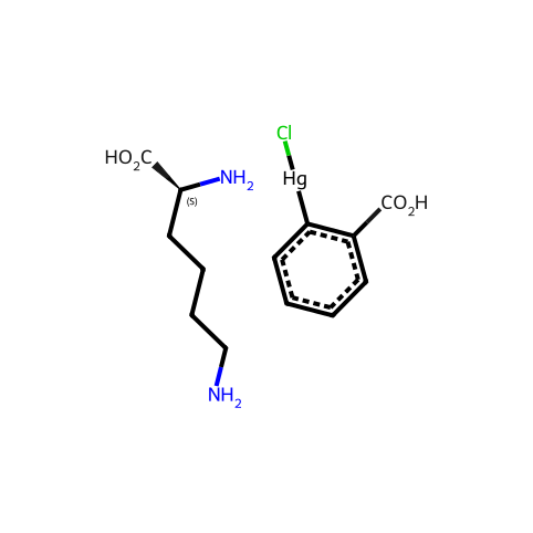 NCCCC[C@H](N)C(=O)O.O=C(O)c1cccc[c]1[Hg][Cl]